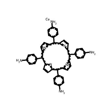 Nc1ccc(-c2c3nc(c(-c4ccc(N)cc4)c4ccc([nH]4)c(-c4ccc(N)cc4)c4nc(c(-c5ccc(N)cc5)c5ccc2[nH]5)C=C4)C=C3)cc1.[Ce]